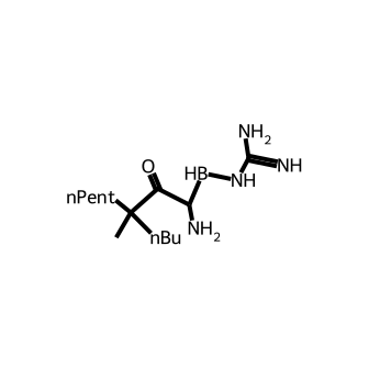 CCCCCC(C)(CCCC)C(=O)C(N)BNC(=N)N